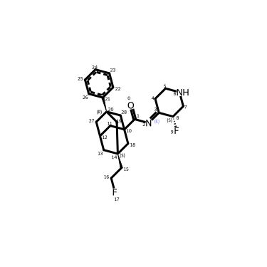 O=C(/N=C1\CCNC[C@@H]1F)C12CC3C[C@@](CCF)(C1)C[C@](c1ccccc1)(C3)C2